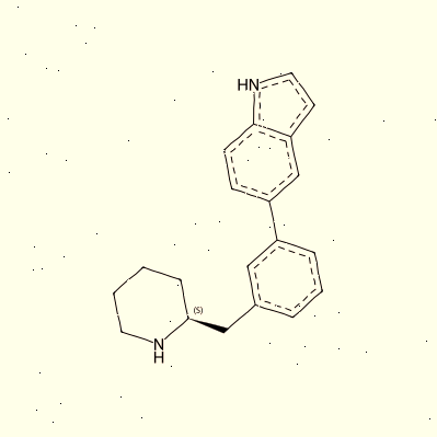 c1cc(C[C@@H]2CCCCN2)cc(-c2ccc3[nH]ccc3c2)c1